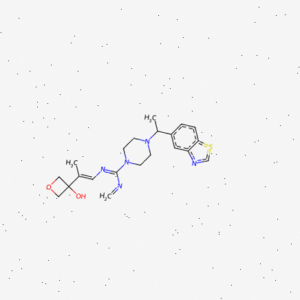 C=N/C(=N\C=C(/C)C1(O)COC1)N1CCN(C(C)c2ccc3scnc3c2)CC1